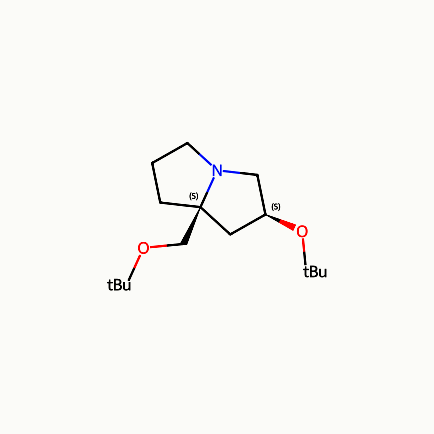 CC(C)(C)OC[C@@]12CCCN1C[C@@H](OC(C)(C)C)C2